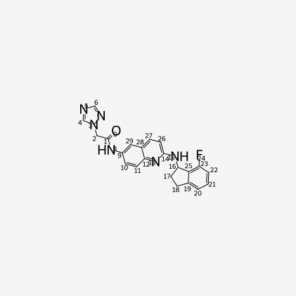 O=C(Cn1cncn1)Nc1ccc2nc(NC3CCc4cccc(F)c43)ccc2c1